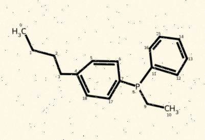 CCCCc1ccc(P(CC)c2ccccc2)cc1